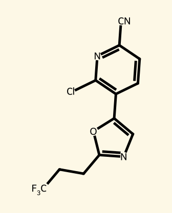 N#Cc1ccc(-c2cnc(CCC(F)(F)F)o2)c(Cl)n1